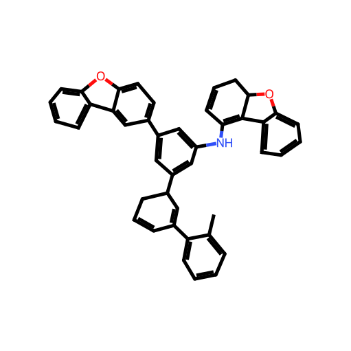 Cc1ccccc1C1=CC(c2cc(NC3=C4c5ccccc5OC4CC=C3)cc(-c3ccc4oc5ccccc5c4c3)c2)CC=C1